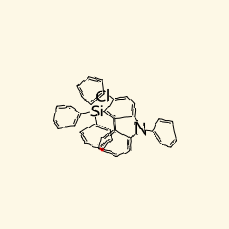 Clc1ccc2c(c1[Si](c1ccccc1)(c1ccccc1)c1ccccc1)c1ccccc1n2-c1ccccc1